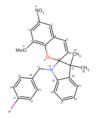 COc1cc([N+](=O)[O-])cc2c1OC1(C=C2)N(Cc2ccc(I)cc2)c2ccccc2C1(C)C